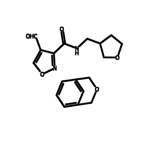 O=Cc1conc1C(=O)NCC1CCOC1.c1cc2cc(c1)COC2